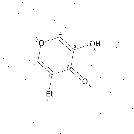 CCc1cocc(O)c1=O